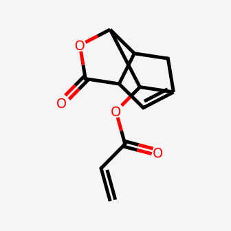 C=CC(=O)OC1C2=CC3C(=O)OC1C3C2